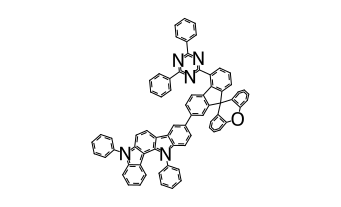 c1ccc(-c2nc(-c3ccccc3)nc(-c3cccc4c3-c3ccc(-c5ccc6c(c5)c5ccc7c(c8ccccc8n7-c7ccccc7)c5n6-c5ccccc5)cc3C43c4ccccc4Oc4ccccc43)n2)cc1